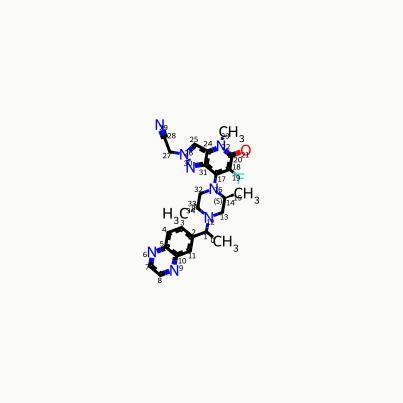 CC(c1ccc2nccnc2c1)N1C[C@H](C)N(c2c(F)c(=O)n(C)c3cn(CC#N)nc23)C[C@H]1C